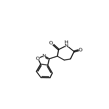 O=C1CCC(c2noc3ccccc23)C(=O)N1